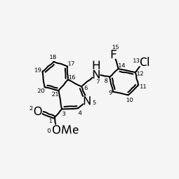 COC(=O)c1cnc(Nc2cccc(Cl)c2F)c2ccccc12